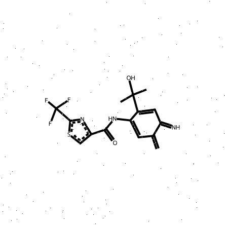 C=C1C=C(NC(=O)c2csc(C(F)(F)F)n2)C(C(C)(C)O)=CC1=N